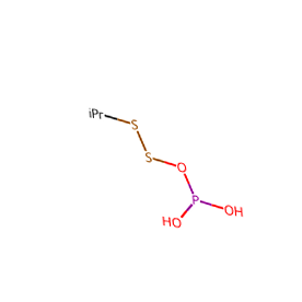 CC(C)SSOP(O)O